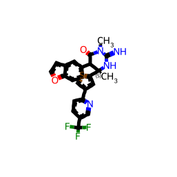 CN1C(=N)N[C@](C)(c2cc(-c3ccc(C(F)(F)F)cn3)cs2)C(c2ccc3occc3c2)C1=O